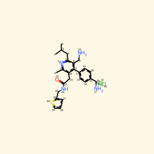 Cc1nc(CC(C)C)c(CN)c(-c2ccc(CN)cc2)c1CC(=O)NCc1cccs1.Cl.Cl